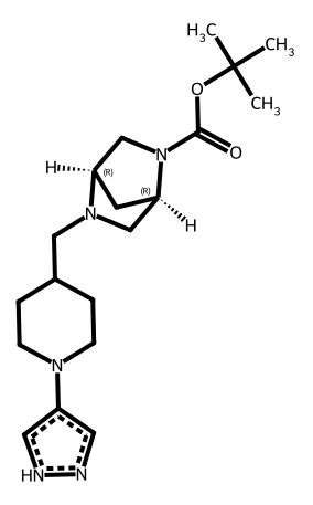 CC(C)(C)OC(=O)N1C[C@H]2C[C@@H]1CN2CC1CCN(c2cn[nH]c2)CC1